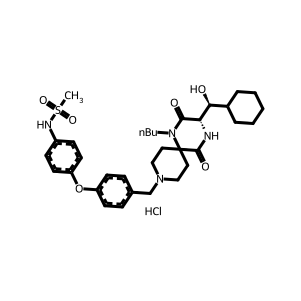 CCCCN1C(=O)[C@H]([C@@H](O)C2CCCCC2)NC(=O)C12CCN(Cc1ccc(Oc3ccc(NS(C)(=O)=O)cc3)cc1)CC2.Cl